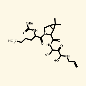 C=CCNC(O)C(=O)C(CCC)NC(=O)C1C2C(CN1C(=O)C(CCCC(=O)O)NC(=O)OCC(C)C)C2(C)C